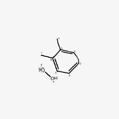 Cc1ccccc1C.OO